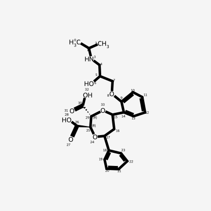 CC(C)NCC(O)COc1ccccc1C1CC(c2ccccc2)O[C@@H](C(=O)O)[C@H](C(=O)O)O1